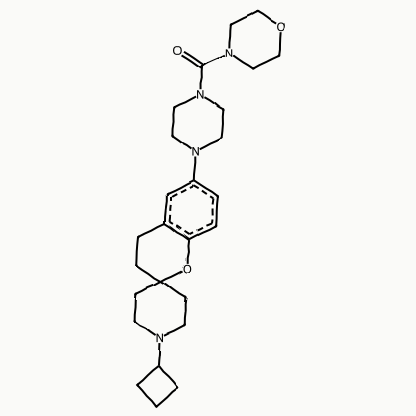 O=C(N1CCOCC1)N1CCN(c2ccc3c(c2)CCC2(CCN(C4CCC4)CC2)O3)CC1